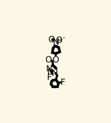 O=C(Oc1ccc([N+](=O)[O-])cc1)c1cn(Cc2c(F)cccc2F)nn1